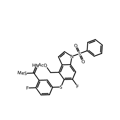 CSC(=N)c1cc(Sc2c(F)cc3c(ccn3S(=O)(=O)c3ccccc3)c2COC(C)=O)ccc1F